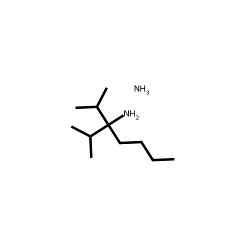 CCCCC(N)(C(C)C)C(C)C.N